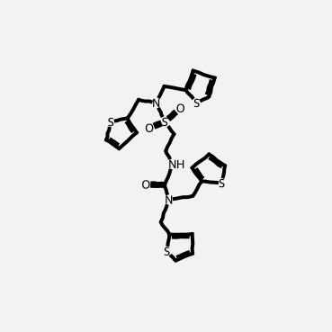 O=C(NCCS(=O)(=O)N(Cc1cccs1)Cc1cccs1)N(Cc1cccs1)Cc1cccs1